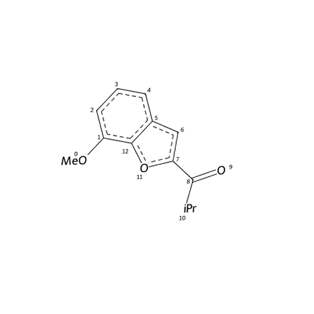 COc1cccc2cc(C(=O)C(C)C)oc12